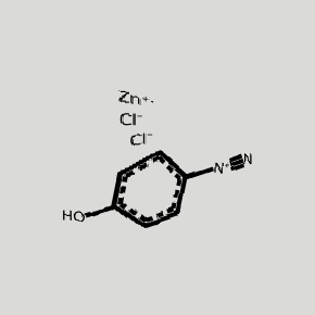 N#[N+]c1ccc(O)cc1.[Cl-].[Cl-].[Zn+]